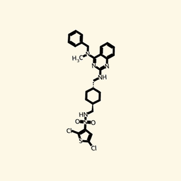 CN(Cc1ccccc1)c1nc(NC[C@H]2CC[C@H](CNS(=O)(=O)c3cc(Cl)sc3Cl)CC2)nc2ccccc12